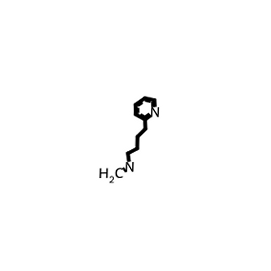 C=NCCCCc1ccccn1